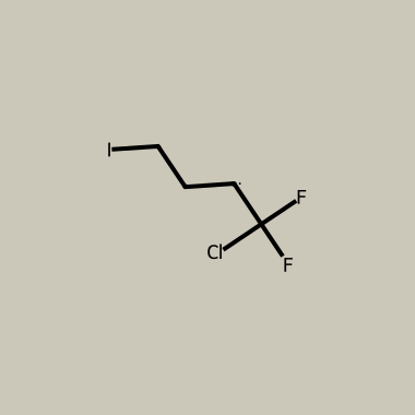 FC(F)(Cl)[CH]CCI